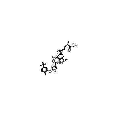 COc1nc(NCCN(C)C(=O)O)nc(OC)c1NC(=O)c1csc(Oc2cc(C(C)(C)C)ccc2C)n1